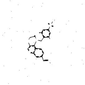 NS(=O)(=O)c1cc(F)c(CN2C(=O)COc3cnc4cc(/C=N/O)ccc4c32)c(F)c1